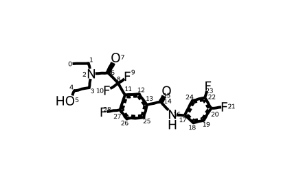 CCN(CCO)C(=O)C(F)(F)c1cc(C(=O)Nc2ccc(F)c(F)c2)ccc1F